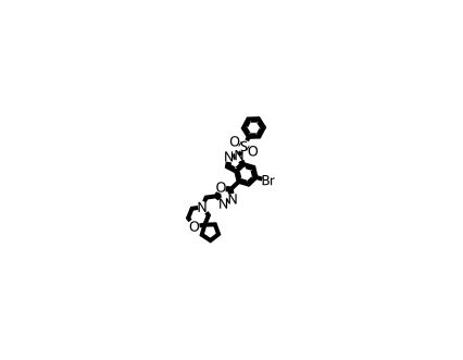 O=S(=O)(c1ccccc1)n1ncc2c(-c3nnc(CN4CCOC5(CCCC5)C4)o3)cc(Br)cc21